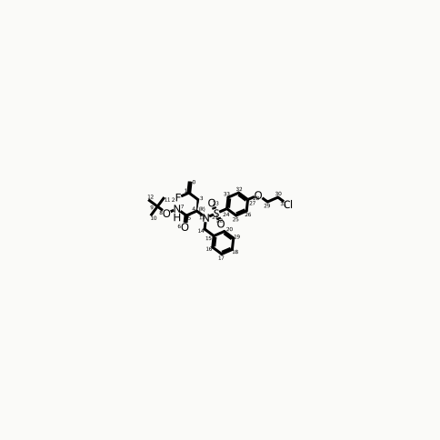 C=C(F)C[C@H](C(=O)NOC(C)(C)C)N(Cc1ccccc1)S(=O)(=O)c1ccc(OCCCl)cc1